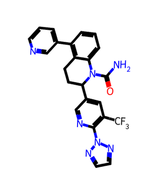 NC(=O)N1c2cccc(-c3cccnc3)c2CCC1c1cnc(-n2nccn2)c(C(F)(F)F)c1